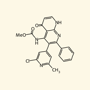 COC(=O)Nc1c(-c2cc(C)nc(Cl)c2)c(-c2ccccc2)nc2[nH]ccc(=O)c12